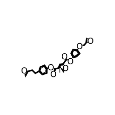 O=C(Oc1ccc(CCC2CO2)cc1)c1cc(C(=O)Oc2ccc(OCC3CO3)cc2)on1